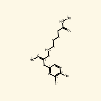 O=C(CCCCNC/C(Cc1ccc(O)c(Br)c1)=N/O)NO